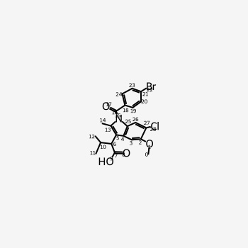 COc1cc2c(C(C(=O)O)C(C)C)c(C)n(C(=O)c3ccc(Br)cc3)c2cc1Cl